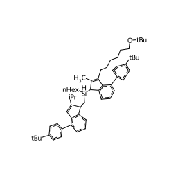 CCCCCC[SiH](CC1C(C(C)C)=Cc2c(-c3ccc(C(C)(C)C)cc3)cccc21)C1C(C)=C(CCCCCCOC(C)(C)C)c2c(-c3ccc(C(C)(C)C)cc3)cccc21